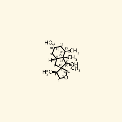 C=C1CO[C@@H](C)[C@]12C[C@@H]1C[C@H](O)C[C@@H](C)[C@]1(C)[C@H]2O